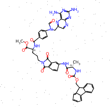 COC(=O)[C@H](CCCN1C(=O)c2ccc(NC(=O)[C@H](C)NC(=O)OCC3c4ccccc4-c4ccccc43)cc2C1=O)NC(=O)c1ccc(N(C=O)Cc2cnc3nc(N)nc(N)c3n2)cc1